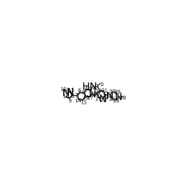 CC(Nc1cc2cc(-c3ccn(C)n3)ccc2cn1)c1ccnc(N2CCN(C)CC2)c1